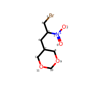 O=[N+]([O-])C(CBr)CC1COCOC1